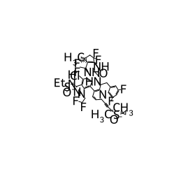 CC[S+]([O-])Nc1nn(CC(F)F)c2c(-c3ccc(C#CC(C)(C)[S+]([O-])C4CC4)nc3C(Cc3cc(F)cc(F)c3)NC(=O)CNC3=C(C(=N)C(F)F)[C@@H](C)CC3(F)F)ccc(Cl)c12